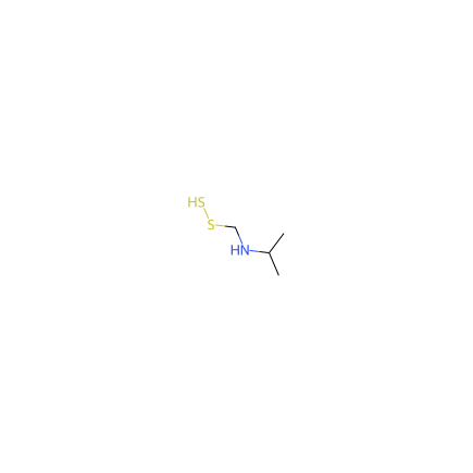 CC(C)NCSS